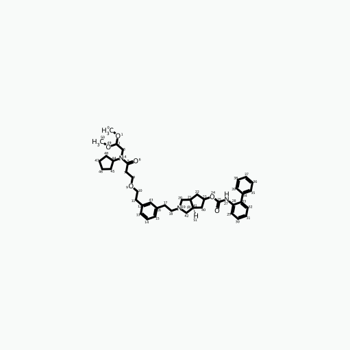 COC(CN(C(=O)CCOCCc1cccc(CCN2CC3CC(OC(=O)Nc4ccccc4-c4ccccc4)C[C@H]3C2)c1)C1CCCC1)OC